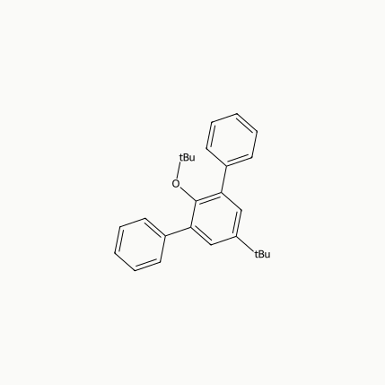 CC(C)(C)Oc1c(-c2ccccc2)cc(C(C)(C)C)cc1-c1ccccc1